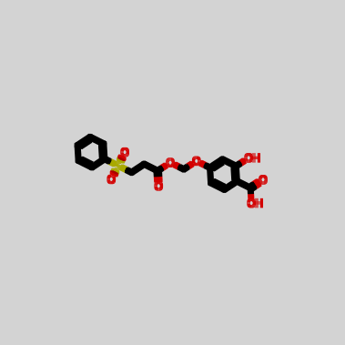 O=C(CCS(=O)(=O)c1ccccc1)OCOc1ccc(C(=O)O)c(O)c1